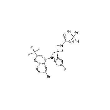 [2H]C([2H])([2H])NC(=O)N1CC(CNc2cc(C(F)(F)F)nc3ccc(Br)cc23)(n2cc(F)cn2)C1